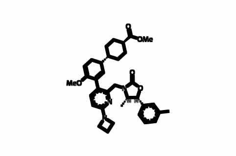 COC1=CCC([C@H]2CC[C@H](C(=O)OC)CC2)C=C1c1ccc(N2CCC2)nc1CN1C(=O)O[C@H](c2cccc(C)c2)[C@@H]1C